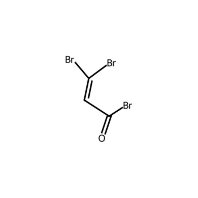 O=C(Br)C=C(Br)Br